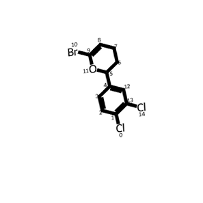 Clc1ccc(C2CCC=C(Br)O2)cc1Cl